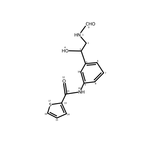 O=CNCC(O)c1cccc(NC(=O)c2cccs2)c1